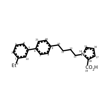 CCc1cccc(-c2ccc(CCCCn3cccc3C(=O)O)cc2)c1